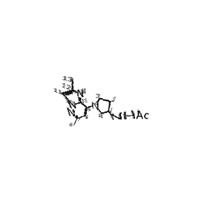 CC(=O)NC1CCN(c2cc(C)nn3cc(C)nc23)C1